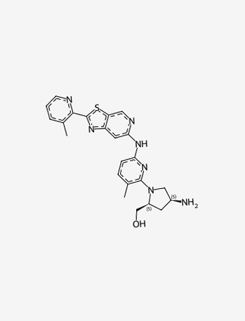 Cc1cccnc1-c1nc2cc(Nc3ccc(C)c(N4C[C@@H](N)C[C@H]4CO)n3)ncc2s1